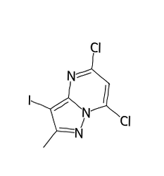 Cc1nn2c(Cl)cc(Cl)nc2c1I